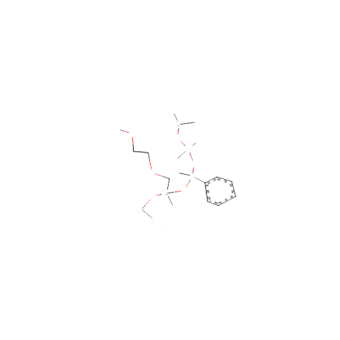 CCCOCCOC[Si](C)(O[SiH](C)C)O[Si](C)(O[Si](C)(C)O[SiH](C)C)c1ccccc1